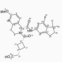 COc1ccc2c(n1)CCN(C(=O)[C@H]1C[C@@H](CC(=O)O)C1)[C@H]2C(=O)Nc1cc(F)c2c(c1)CCC2(C)C